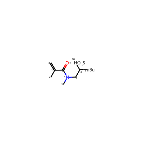 C=C(C)C(=O)N(C)CC(CCCC)S(=O)(=O)O